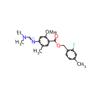 CCN(C)/C=N/c1cc(OC)c(C(=O)OCc2ccc(C)cc2F)cc1C